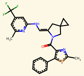 Cc1cc(C(F)(F)F)cc(N/C=C2\CC3(CC3)CN2C(=O)c2nc(C)sc2-c2ccccc2)n1